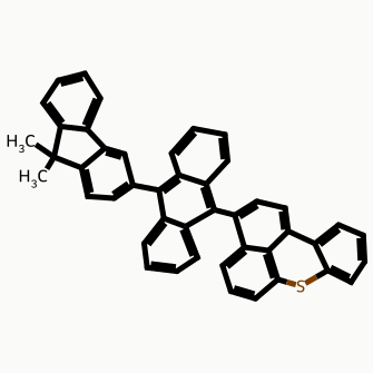 CC1(C)c2ccccc2-c2cc(-c3c4ccccc4c(-c4ccc5c6c(cccc46)Sc4ccccc4-5)c4ccccc34)ccc21